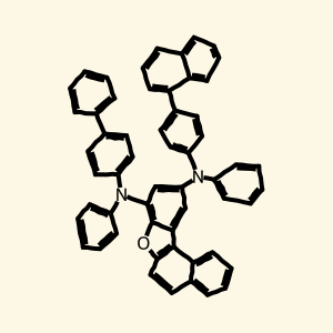 c1ccc(-c2ccc(N(c3ccccc3)c3cc(N(c4ccccc4)c4ccc(-c5cccc6ccccc56)cc4)cc4c3oc3ccc5ccccc5c34)cc2)cc1